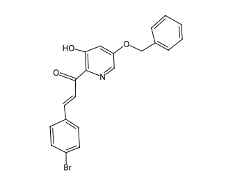 O=C(C=Cc1ccc(Br)cc1)c1ncc(OCc2ccccc2)cc1O